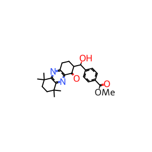 COC(=O)c1ccc(C(O)C2CCc3nc4c(nc3C2=O)C(C)(C)CCC4(C)C)cc1